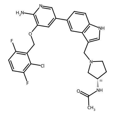 CC(=O)N[C@H]1CCN(Cc2c[nH]c3ccc(-c4cnc(N)c(OCc5c(F)ccc(F)c5Cl)c4)cc23)C1